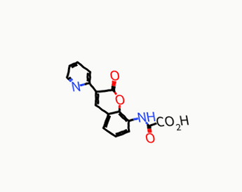 O=C(O)C(=O)Nc1cccc2cc(-c3ccccn3)c(=O)oc12